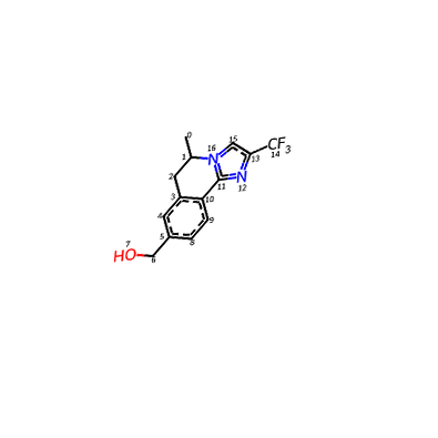 CC1Cc2cc(CO)ccc2-c2nc(C(F)(F)F)cn21